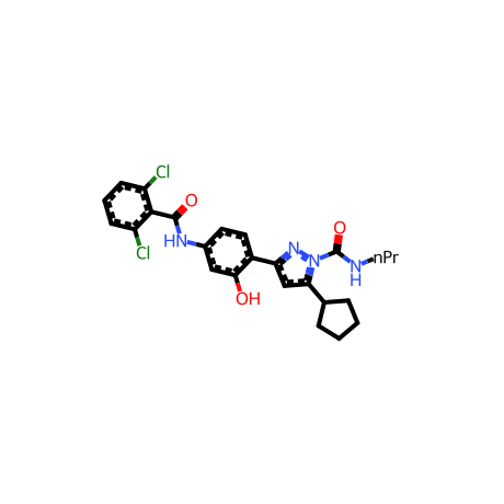 CCCNC(=O)n1nc(-c2ccc(NC(=O)c3c(Cl)cccc3Cl)cc2O)cc1C1CCCC1